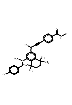 CCNC(=O)c1ccc(C#CC(O)c2cc(N(C)Cc3ccc(C)cc3)c3c(c2)C(C)(C)CCC3(C)C)cc1